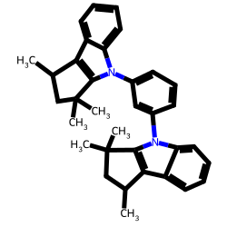 CC1CC(C)(C)c2c1c1ccccc1n2-c1cccc(-n2c3c(c4ccccc42)C(C)CC3(C)C)c1